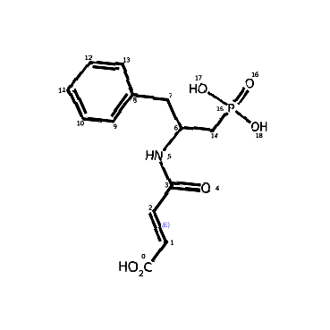 O=C(O)/C=C/C(=O)NC(Cc1ccccc1)CP(=O)(O)O